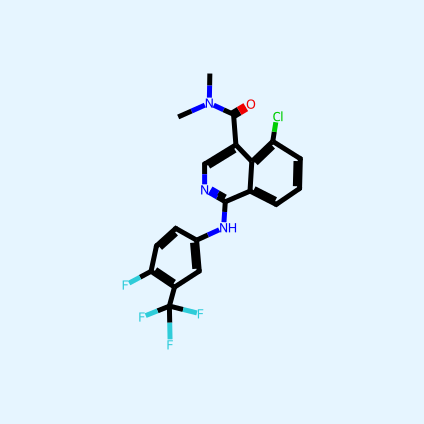 CN(C)C(=O)c1cnc(Nc2ccc(F)c(C(F)(F)F)c2)c2cccc(Cl)c12